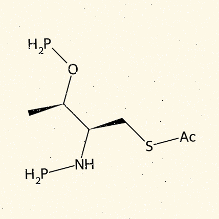 CC(=O)SC[C@@H](NP)[C@@H](C)OP